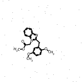 COC(=O)Cn1c(Cc2cc(OC)ccc2OC)nc2ccccc21